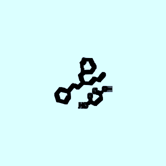 C=CC=CC(C=Cc1ccccc1)=Cc1ccccc1.O=C(O)/C=C\C(=O)O